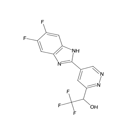 OC(c1cc(-c2nc3cc(F)c(F)cc3[nH]2)cnn1)C(F)(F)F